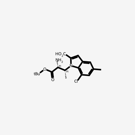 Cc1cc(Cl)c2c(c1)cc(C(=O)O)n2[C@H](C)[C@@H](N)C(=O)OC(C)(C)C